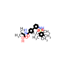 Cc1c(C)c(C)c(S(=O)(=O)Nc2cccc(-c3ccc(C(=O)N[C@H](C(=O)O)C(C)C)cc3)c2)c(C)c1C